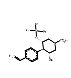 C=Cc1ccc([C@@H]2[C@@H](O)CN(C(=O)O)C[C@H]2O[Si](C(C)C)(C(C)C)C(C)C)cc1